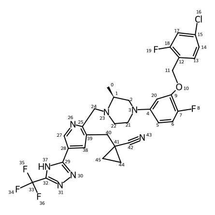 C[C@H]1CN(c2ccc(F)c(OCc3ccc(Cl)cc3F)c2)CCN1Cc1ncc(-c2nnc(C(F)(F)F)[nH]2)cc1CC1(C#N)CC1